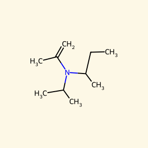 C=C(C)N(C(C)C)C(C)CC